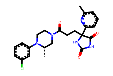 Cc1cccc(C2(CCC(=O)N3CCN(c4cccc(Cl)c4)[C@@H](C)C3)NC(=O)NC2=O)n1